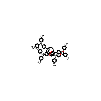 COc1ccc(N(c2ccc(OC)cc2)c2ccc(-c3cc4c(-c5ccc(N(c6ccc(OC)cc6)c6ccc(OC)cc6)cc5)cc3CCc3cc(-c5ccc(N(c6ccc(OC)cc6)c6ccc(OC)cc6)cc5)c(cc3-c3ccc(N(c5ccc(OC)cc5)c5ccc(OC)cc5)cc3)CC4)cc2)cc1